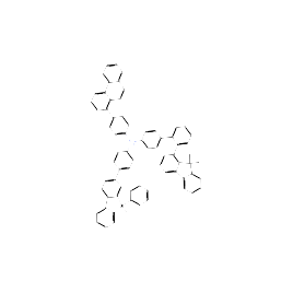 CC1(C)c2ccccc2-c2cccc(-c3ccccc3-c3ccc(N(c4ccc(-c5ccc6c(c5)C(C)(c5ccccc5)c5ccccc5-6)cc4)c4ccc(-c5cccc6c5ccc5ccccc56)cc4)cc3)c21